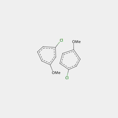 COc1ccc(Cl)cc1.COc1cccc(Cl)c1